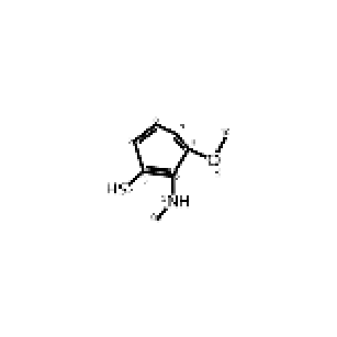 CNc1c(S)cccc1OC